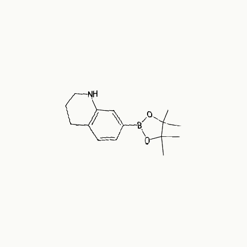 CC1(C)OB(c2ccc3c(c2)NCCC3)OC1(C)C